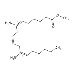 CCCCC/C=C(/N)C/C=C\C/C(N)=C\CCCCC(=O)OC